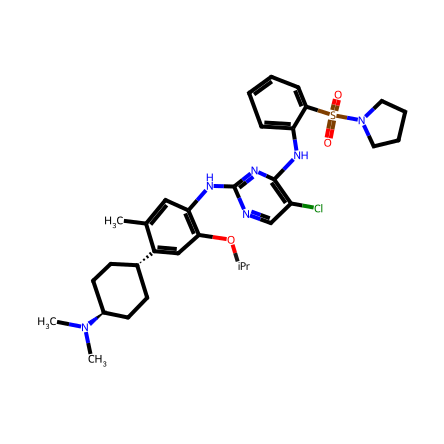 Cc1cc(Nc2ncc(Cl)c(Nc3ccccc3S(=O)(=O)N3CCCC3)n2)c(OC(C)C)cc1[C@H]1CC[C@H](N(C)C)CC1